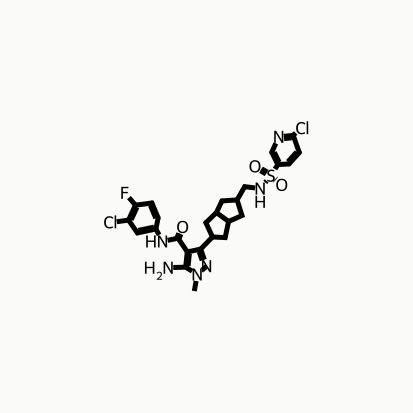 Cn1nc(C2CC3CC(CNS(=O)(=O)c4ccc(Cl)nc4)CC3C2)c(C(=O)Nc2ccc(F)c(Cl)c2)c1N